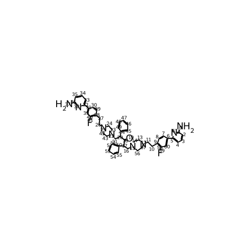 Nc1cccc(-c2ccc(CCN3CCN(CC(C(=O)C(CN4CCN(CCc5ccc(-c6cccc(N)n6)cc5F)CC4)c4ccccc4)c4ccccc4)CC3)c(F)c2)n1